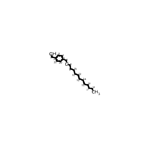 C=Cc1ccc(COCCCCCCCCCCCC)cc1